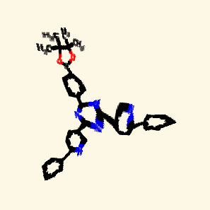 CC1(C)OB(c2ccc(-c3nc(-c4ccc(-c5ccccc5)nc4)nc(-c4ccc(-c5ccccc5)nc4)n3)cc2)OC1(C)C